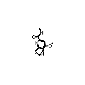 CNC(=O)c1cc(OC)c2n[c]sc2n1